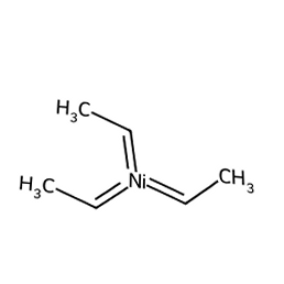 C[CH]=[Ni](=[CH]C)=[CH]C